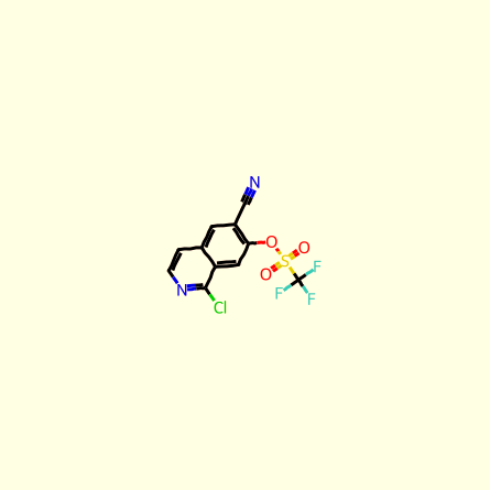 N#Cc1cc2ccnc(Cl)c2cc1OS(=O)(=O)C(F)(F)F